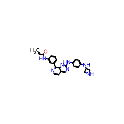 C=CC(=O)Nc1cccc(-c2nccc3cnc(Nc4ccc(NC5CNC5)cc4)nc23)c1